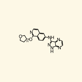 c1cc2cc(Nc3n[nH]c4nccnc34)ccc2c(O[C@H]2CCOC2)n1